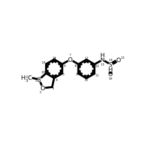 CB1OCc2cc(Oc3cccc(N[SH](=O)=O)c3)ccc21